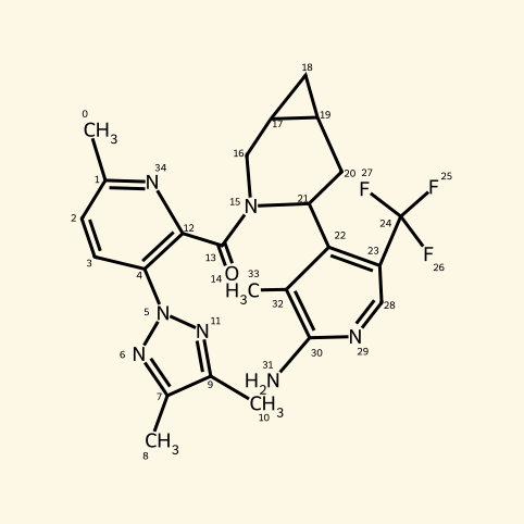 Cc1ccc(-n2nc(C)c(C)n2)c(C(=O)N2CC3CC3CC2c2c(C(F)(F)F)cnc(N)c2C)n1